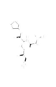 C[C@@H](C(=O)N[C@@H](CCC(=O)C=[N+]=[N-])C(=O)OC1CCCC1)[S+](C)[O-]